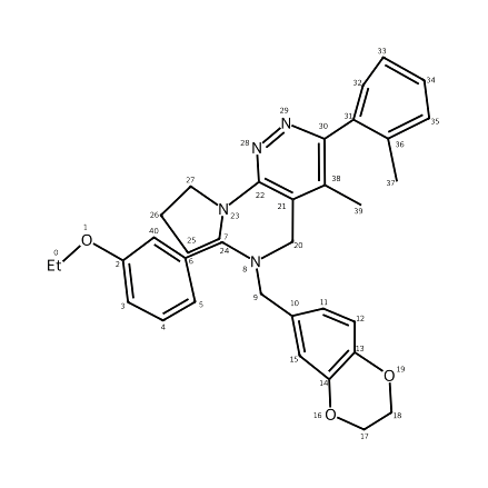 CCOc1cccc(CN(Cc2ccc3c(c2)OCCO3)Cc2c(N3CCCC3)nnc(-c3ccccc3C)c2C)c1